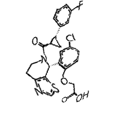 O=C(O)COc1ccc(Cl)cc1[C@@H]1c2scnc2CCN1C(=O)[C@@H]1C[C@H]1c1cccc(F)c1